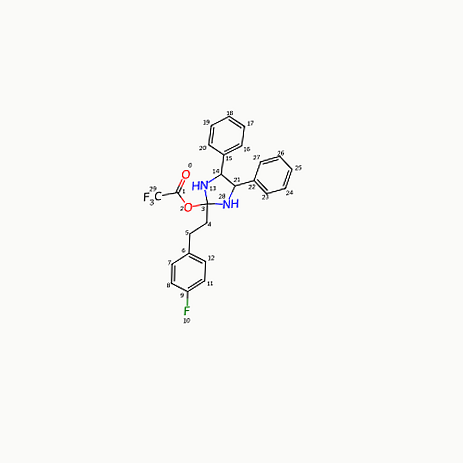 O=C(OC1(CCc2ccc(F)cc2)NC(c2ccccc2)C(c2ccccc2)N1)C(F)(F)F